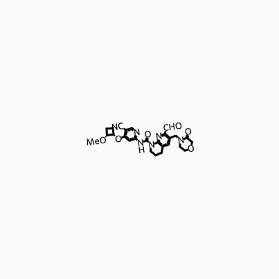 CO[C@@H]1CC[C@H]1Oc1cc(NC(=O)N2CCCc3cc(CN4CCOCC4=O)c(C=O)nc32)ncc1C#N